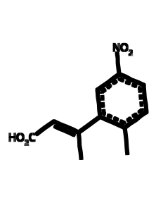 C/C(=C\C(=O)O)c1cc([N+](=O)[O-])ccc1C